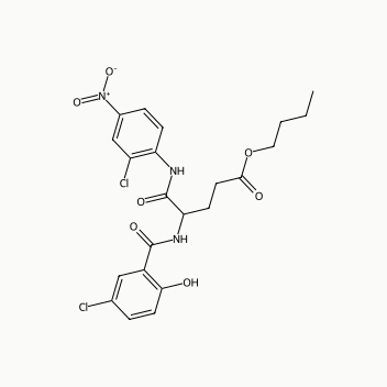 CCCCOC(=O)CCC(NC(=O)c1cc(Cl)ccc1O)C(=O)Nc1ccc([N+](=O)[O-])cc1Cl